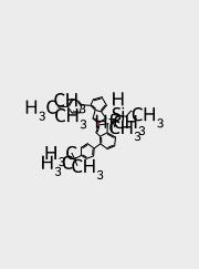 CCC[SiH]=[Hf]([CH3])([CH3])([CH]1C=Cc2c(-c3ccc(C(C)(C)C)cc3)cccc21)[CH]1C=Cc2c(-c3ccc(C(C)(C)C)cc3)cccc21